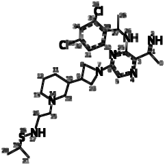 CC(=N)c1ncc(N2CC(C3CCCN(CCNSC(C)C)C3)C2)nc1NC(C)c1ccc(Cl)cc1Cl